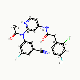 CC(=O)N(c1cc(F)cc(C#N)c1)c1cc(NC(=O)Cc2ccc(F)cc2Cl)ccn1